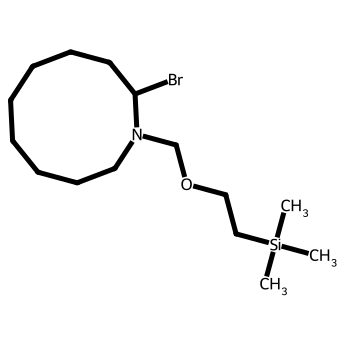 C[Si](C)(C)CCOCN1CCCCCCCCC1Br